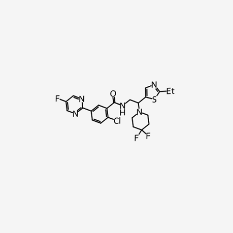 CCc1ncc(C(CNC(=O)c2cc(-c3ncc(F)cn3)ccc2Cl)N2CCC(F)(F)CC2)s1